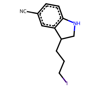 N#Cc1ccc2c(c1)C(CCCI)CN2